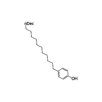 CCCCCCCCCCCCCCCCCCCCCc1ccc(O)cc1